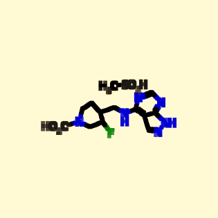 CS(=O)(=O)O.O=C(O)N1CCC(CNc2ncnc3[nH]ncc23)C(F)C1